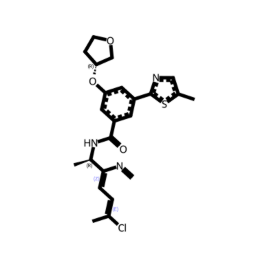 C=N/C(=C\C=C(/C)Cl)[C@@H](C)NC(=O)c1cc(O[C@@H]2CCOC2)cc(-c2ncc(C)s2)c1